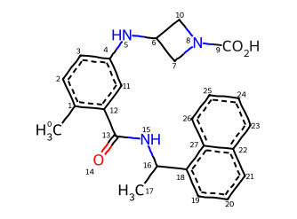 Cc1ccc(NC2CN(C(=O)O)C2)cc1C(=O)NC(C)c1cccc2ccccc12